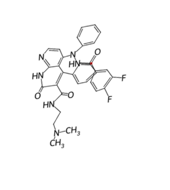 CN(C)CCNC(=O)c1c(-c2ccccc2)c2c(N(NC(=O)c3ccc(F)c(F)c3)c3ccccc3)ccnc2[nH]c1=O